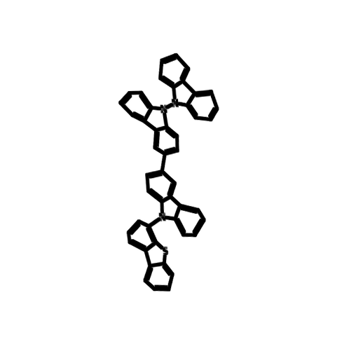 c1ccc2c(c1)sc1c(-n3c4ccccc4c4cc(-c5ccc6c(c5)c5ccccc5n6-n5c6ccccc6c6ccccc65)ccc43)cccc12